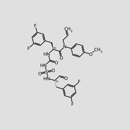 C=CCN(C(=O)[C@H](Cc1cc(F)cc(F)c1)NC(=O)NS(=O)(=O)N[C@H](C=O)Cc1cc(F)cc(F)c1)c1ccc(OC)cc1